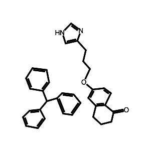 O=C1CCCc2cc(OCCCc3c[nH]cn3)ccc21.c1ccc(C(c2ccccc2)c2ccccc2)cc1